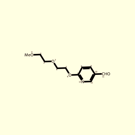 COCCOCCOc1ccc(C=O)cn1